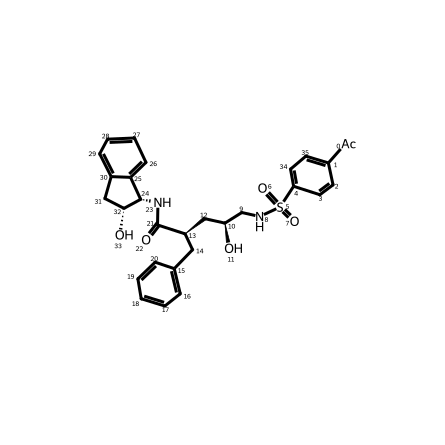 CC(=O)c1ccc(S(=O)(=O)NC[C@@H](O)C[C@@H](Cc2ccccc2)C(=O)N[C@H]2c3ccccc3C[C@H]2O)cc1